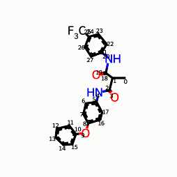 CC(C(=O)Nc1ccc(Oc2ccccc2)cc1)C(=O)Nc1ccc(C(F)(F)F)cc1